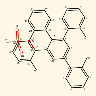 Cc1ccccc1-c1cc(-c2ccccc2C)c(-c2ccccc2C(=O)S(C)(=O)=O)c(-c2ccccc2C)c1